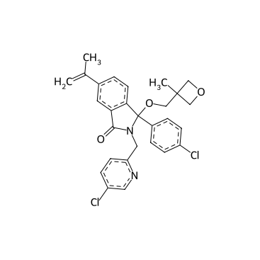 C=C(C)c1ccc2c(c1)C(=O)N(Cc1ccc(Cl)cn1)C2(OCC1(C)COC1)c1ccc(Cl)cc1